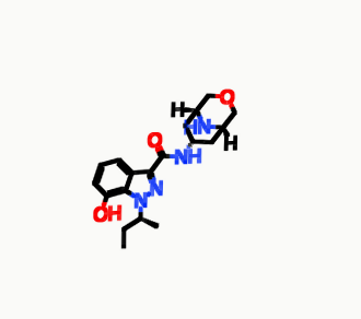 CC[C@H](C)n1nc(C(=O)N[C@H]2C[C@H]3COC[C@@H](C2)N3)c2cccc(O)c21